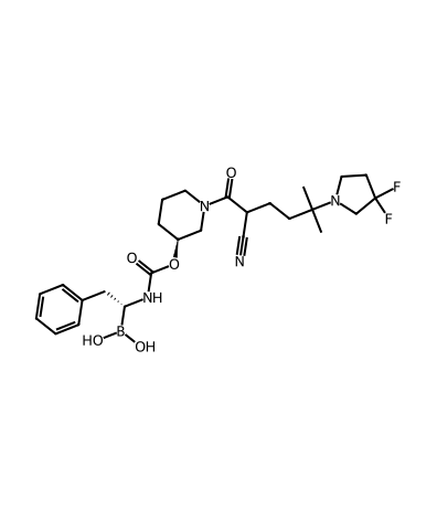 CC(C)(CCC(C#N)C(=O)N1CCC[C@H](OC(=O)N[C@@H](Cc2ccccc2)B(O)O)C1)N1CCC(F)(F)C1